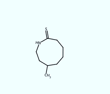 CC1CCCCC(=S)NCC1